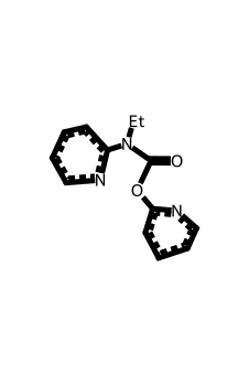 CCN(C(=O)Oc1ccccn1)c1ccccn1